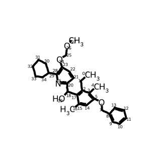 CCc1c(C)c(OCc2ccccc2)cc(C)c1C(O)c1ccc(OCOC)c(C2CCCCC2)n1